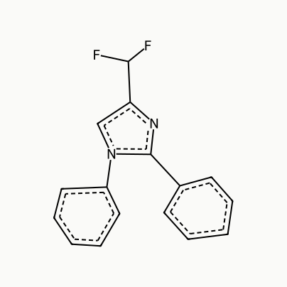 FC(F)c1cn(-c2ccccc2)c(-c2ccccc2)n1